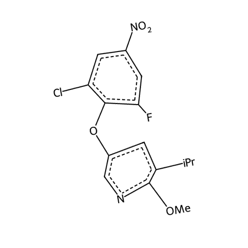 COc1ncc(Oc2c(F)cc([N+](=O)[O-])cc2Cl)cc1C(C)C